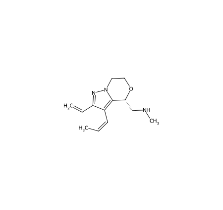 C=Cc1nn2c(c1/C=C\C)[C@@H](CNC)OCC2